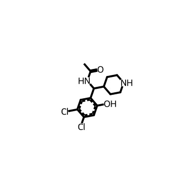 CC(=O)NC(c1cc(Cl)c(Cl)cc1O)C1CCNCC1